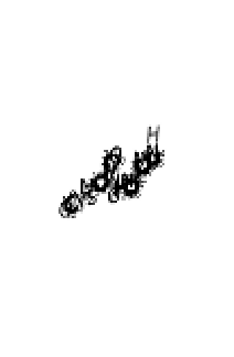 O=C(Nc1cc2sc(N3CCOCC3)nc2cc1N1CCOCC1)c1cccc(-c2cnc3[nH]ccc3c2)n1